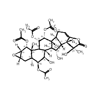 CC(=O)O[C@@H]1[C@H](O)[C@@H]2C([C@H](OC(C)=O)[C@H](OC(C)=O)[C@]3(C)[C@@H]4[C@@H]([C@H](O)[C@@H]23)[C@]2(C)C(=C[C@H]4C)OC(=O)[C@@]2(C)O)[C@]2(C)[C@@H]1C[C@@H]1O[C@@H]1[C@@H]2OC(C)=O